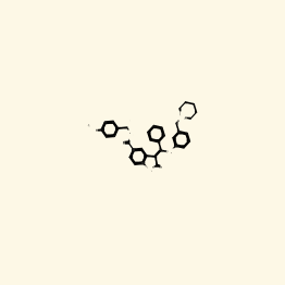 COc1ccc([C@@H](C)NC(=O)c2ccc3c(c2)/C(=C(/Nc2cccc(CN4CCCCC4)c2)c2ccccc2)C(=O)N3)cc1